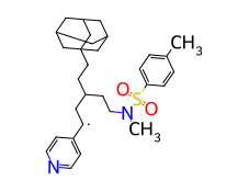 Cc1ccc(S(=O)(=O)N(C)CCC(C[CH]c2ccncc2)CCC23CC4CC(CC(C4)C2)C3)cc1